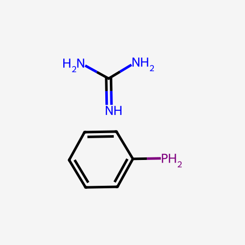 N=C(N)N.Pc1ccccc1